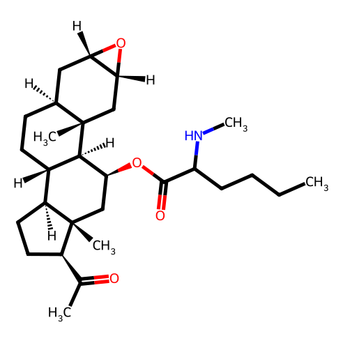 CCCCC(NC)C(=O)O[C@H]1C[C@]2(C)[C@@H](C(C)=O)CC[C@H]2[C@@H]2CC[C@H]3C[C@@H]4O[C@@H]4C[C@]3(C)[C@H]21